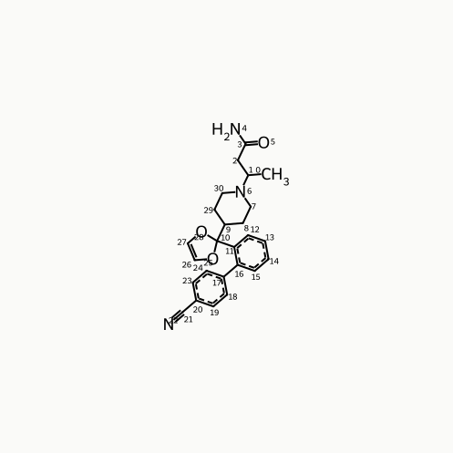 CC(CC(N)=O)N1CCC(C2(c3ccccc3-c3ccc(C#N)cc3)OC=CO2)CC1